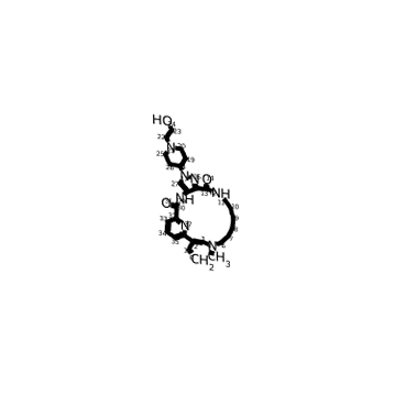 C=C/C1=C\N(C)CCCCCCNC(=O)c2nn(C3CCN(CCO)CC3)cc2NC(=O)c2cccc1n2